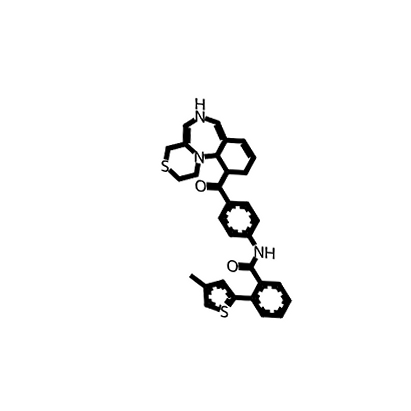 Cc1csc(-c2ccccc2C(=O)Nc2ccc(C(=O)C3CC=CC4=CNC=C5CSCCN5C43)cc2)c1